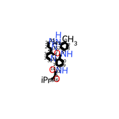 Cc1ccc(NC(=O)c2ccc(NC(=O)C3OC3C(C)C)cc2)cc1Nc1nccc(-c2cccnc2)n1